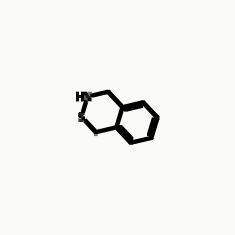 [CH]1SNCc2ccccc21